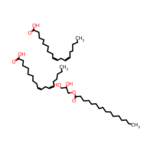 CCCCC/C=C\C/C=C\CCCCCCCC(=O)O.CCCCC/C=C\C/C=C\CCCCCCCC(=O)O.CCCCCCCCCCCCCCCC(=O)OCC(O)CO